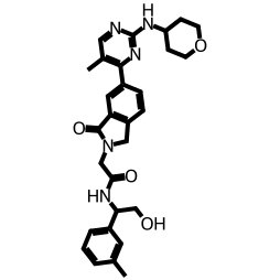 Cc1cccc(C(CO)NC(=O)CN2Cc3ccc(-c4nc(NC5CCOCC5)ncc4C)cc3C2=O)c1